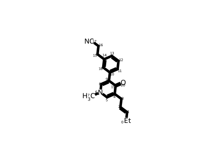 CCC=CCc1cn(C)cc(-c2cccc(CCC#N)c2)c1=O